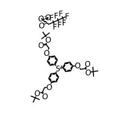 CC(C)(C)OC(=O)COc1ccc([S+](c2ccc(OCC(=O)OC(C)(C)C)cc2)c2ccc(OCC(=O)OC(C)(C)C)cc2)cc1.O=S(=O)([O-])CC(F)(F)C(F)(F)C(F)(F)F